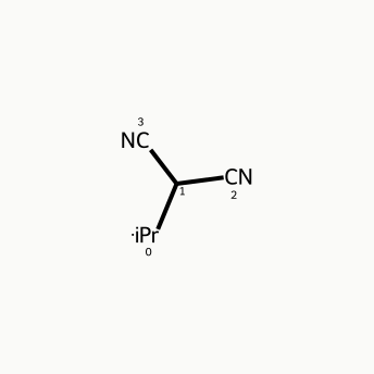 C[C](C)C(C#N)C#N